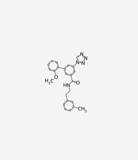 COc1ccccc1-c1cc(C(=O)NCCc2cccc(C)c2)cc(-n2cnnn2)c1